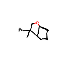 CC(C)C1(C)COC2CCCC21